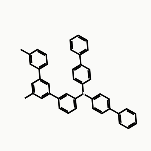 Cc1cccc(-c2cc(C)cc(-c3cccc(N(c4ccc(-c5ccccc5)cc4)c4ccc(-c5ccccc5)cc4)c3)c2)c1